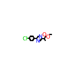 CCOC(=O)C(C)c1cnc(-c2ccc(Cl)cc2)cn1